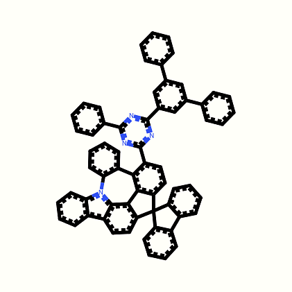 c1ccc(-c2cc(-c3ccccc3)cc(-c3nc(-c4ccccc4)nc(-c4ccc5c6c4-c4ccccc4-n4c7ccccc7c7ccc(c-6c74)C54c5ccccc5-c5ccccc54)n3)c2)cc1